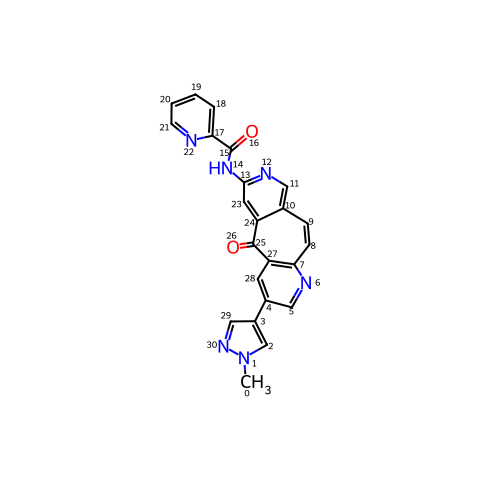 Cn1cc(-c2cnc3ccc4cnc(NC(=O)c5ccccn5)cc4c(=O)c3c2)cn1